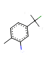 Cc1ccc(C(F)(C(F)(F)F)C(F)(F)F)cc1N